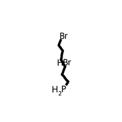 Br.PCCCCCCBr